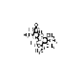 CCC1O[C@@H](C)C2NC(=O)O[C@H]2[C@@H]1O[C@@H]1OC(C(=O)OC)[C@@H](C)[C@H](C)C1C